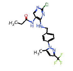 CCC(=O)Nc1cnc(Cl)nc1NCc1ccc(-n2nc(C(F)(F)F)cc2C)cc1